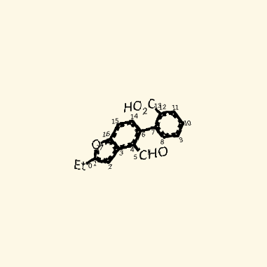 CCc1cc2c(C=O)c(-c3ccccc3C(=O)O)ccc2o1